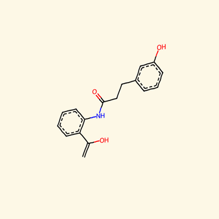 C=C(O)c1ccccc1NC(=O)CCc1cccc(O)c1